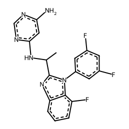 CC(Nc1cc(N)ncn1)c1nc2cccc(F)c2n1-c1cc(F)cc(F)c1